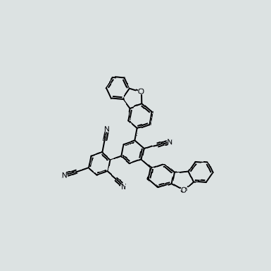 N#Cc1cc(C#N)c(-c2cc(-c3ccc4oc5ccccc5c4c3)c(C#N)c(-c3ccc4oc5ccccc5c4c3)c2)c(C#N)c1